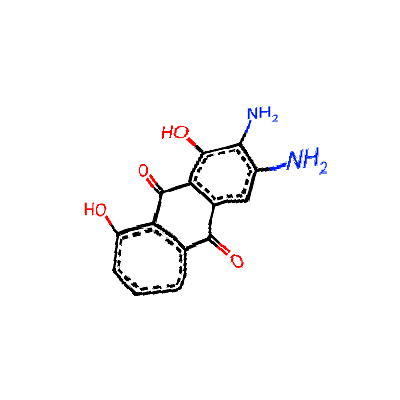 Nc1cc2c(c(O)c1N)C(=O)c1c(O)cccc1C2=O